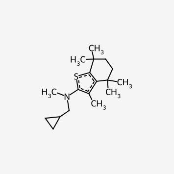 Cc1c(N(C)CC2CC2)sc2c1C(C)(C)CCC2(C)C